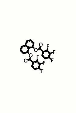 O=C(Oc1cccc2cccc(OC(=O)c3ccc(F)c(F)c3F)c12)c1ccc(F)c(F)c1F